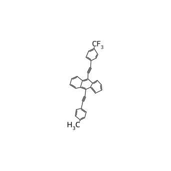 Cc1ccc(C#Cc2c3ccccc3c(C#Cc3ccc(C(F)(F)F)cc3)c3ccccc23)cc1